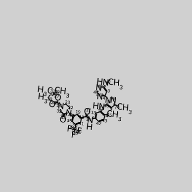 CNc1cc(-n2nc(C)cc2Nc2cc(NC(=O)c3cc(N4CCN(C(=O)OC(C)(C)C)CC4=O)cc(C(F)(F)F)c3)ccc2C)ncn1